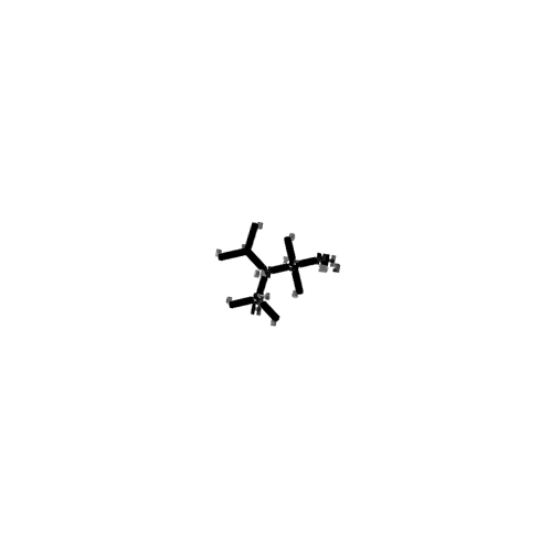 CC(C)N([SiH](C)C)[Si](C)(C)N